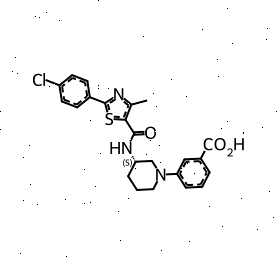 Cc1nc(-c2ccc(Cl)cc2)sc1C(=O)N[C@H]1CCCN(c2cccc(C(=O)O)c2)C1